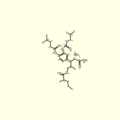 CCCC(C)C(=O)OCC(C)C(c1ccc(OC(=O)CCC(C)C)c(OC(=O)CCC(C)C)c1)[C@H](N)C(=O)O